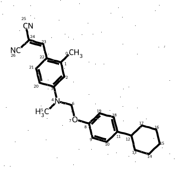 Cc1cc(N(C)COc2ccc(C3CCCCC3)cc2)ccc1C=C(C#N)C#N